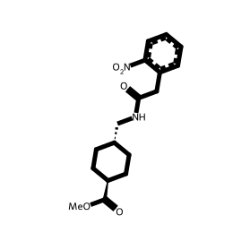 COC(=O)[C@H]1CC[C@H](CNC(=O)Cc2ccccc2[N+](=O)[O-])CC1